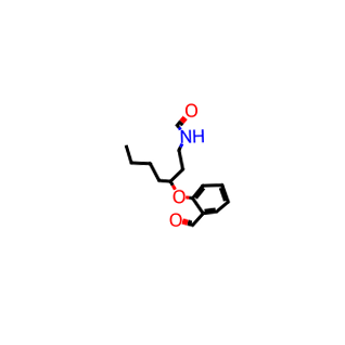 CCCCC(CCNC=O)Oc1ccccc1C=O